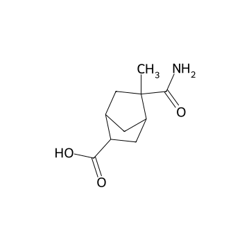 CC1(C(N)=O)CC2CC1CC2C(=O)O